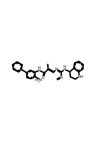 C=N/C(=N\C=C(/C)C(=O)Nc1cc(-c2ccccc2)ccc1N)NC1CCNc2ccccc21